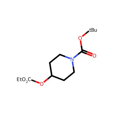 CCOC(=O)OC1CCN(C(=O)OC(C)(C)C)CC1